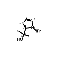 CC(C)n1ncnc1C(C)(C)O